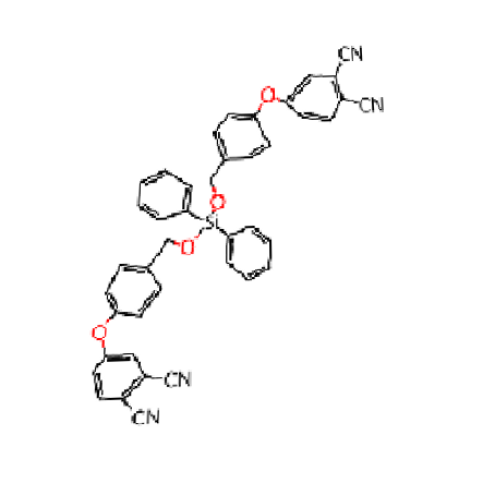 N#Cc1ccc(Oc2ccc(CO[Si](OCc3ccc(Oc4ccc(C#N)c(C#N)c4)cc3)(c3ccccc3)c3ccccc3)cc2)cc1C#N